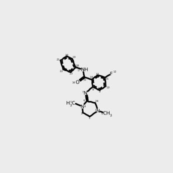 CN1CCN(C)C(=Nc2ccc(F)cc2C(=O)Nc2ccccc2)C1